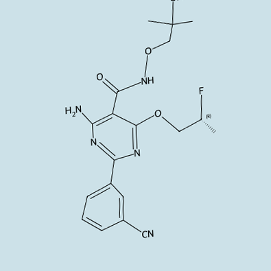 C[C@@H](F)COc1nc(-c2cccc(C#N)c2)nc(N)c1C(=O)NOCC(C)(C)O